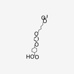 C=CC(=O)OCCCCCCOc1ccc(OCC2CCC(C(=O)O)CC2)cc1